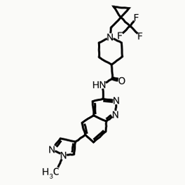 Cn1cc(-c2ccc3nnc(NC(=O)C4CCN(CC5(C(F)(F)F)CC5)CC4)cc3c2)cn1